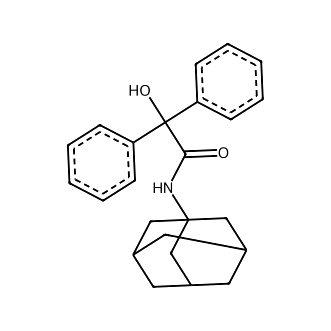 O=C(NC12CC3CC(CC(C3)C1)C2)C(O)(c1ccccc1)c1ccccc1